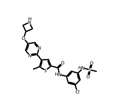 Cc1sc(C(=O)Nc2cc(Cl)cc(NS(C)(=O)=O)c2)cc1-c1ncc(OC2CNC2)cn1